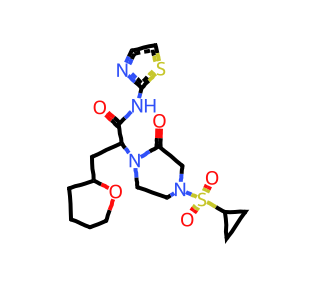 O=C(Nc1nccs1)C(CC1CCCCO1)N1CCN(S(=O)(=O)C2CC2)CC1=O